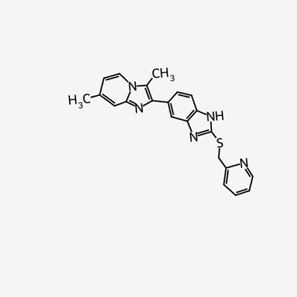 Cc1ccn2c(C)c(-c3ccc4[nH]c(SCc5ccccn5)nc4c3)nc2c1